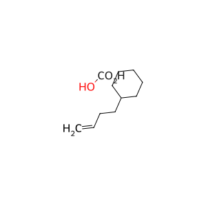 C=CCCC1CCCCC1.O=C(O)O